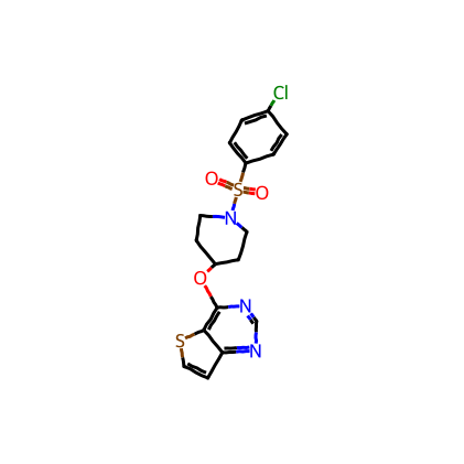 O=S(=O)(c1ccc(Cl)cc1)N1CCC(Oc2ncnc3ccsc23)CC1